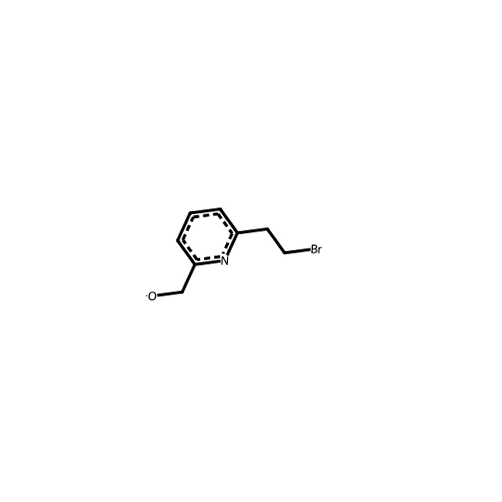 [O]Cc1cccc(CCBr)n1